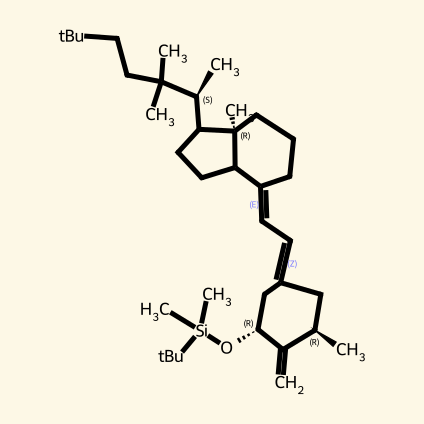 C=C1[C@H](C)C/C(=C/C=C2\CCC[C@@]3(C)C2CCC3[C@H](C)C(C)(C)CCC(C)(C)C)C[C@H]1O[Si](C)(C)C(C)(C)C